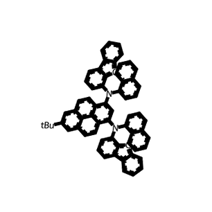 CC(C)(C)c1cc2ccc3c(N(c4cccc5ccccc45)c4cccc5c4oc4ccccc45)cc(N(c4cccc5ccccc45)c4cccc5c4oc4ccccc45)c4ccc(c1)c2c34